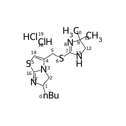 CCCCC1CN2C(CSC3=NC(C)(C)CN3)=CSC2=N1.Cl.Cl